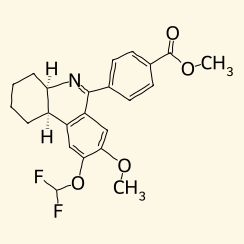 COC(=O)c1ccc(C2=N[C@@H]3CCCC[C@@H]3c3cc(OC(F)F)c(OC)cc32)cc1